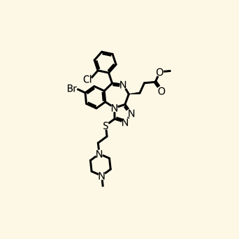 COC(=O)CC[C@@H]1N=C(c2ccccc2Cl)c2cc(Br)ccc2-n2c(SCCN3CCN(C)CC3)nnc21